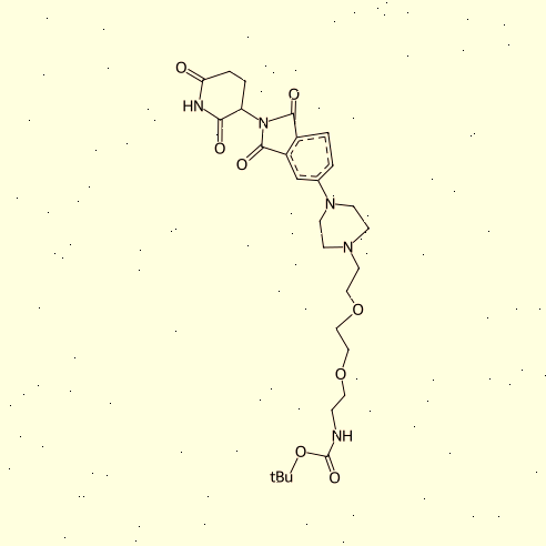 CC(C)(C)OC(=O)NCCOCCOCCN1CCN(c2ccc3c(c2)C(=O)N(C2CCC(=O)NC2=O)C3=O)CC1